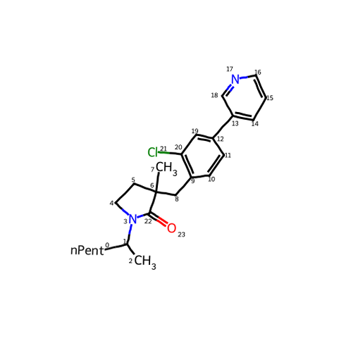 CCCCCC(C)N1CCC(C)(Cc2ccc(-c3cccnc3)cc2Cl)C1=O